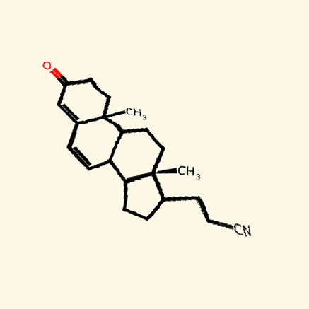 CC12CCC(=O)C=C1C=CC1C2CC[C@]2(C)C(CCC#N)CCC12